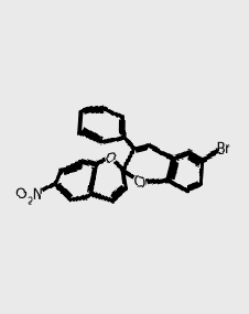 O=[N+]([O-])c1ccc2c(c1)C=CC1(Oc3ccc(Br)cc3C=C1c1ccccc1)O2